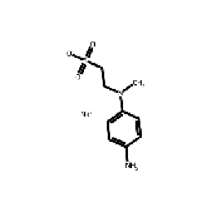 CN(CCS(=O)(=O)[O-])c1ccc(N)cc1.[Na+]